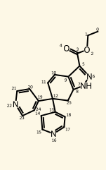 CCOC(=O)c1n[nH]c2c1C=CC(c1ccncc1)(c1ccncc1)C2